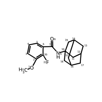 COc1cccc(C(=O)NC23CC4CC(CC(C4)C2)C3)c1F